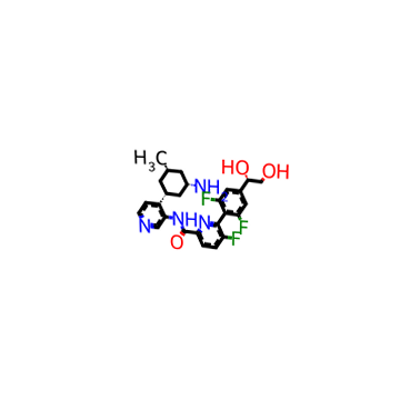 C[C@@H]1C[C@H](N)C[C@H](c2ccncc2NC(=O)c2ccc(F)c(-c3c(F)cc([C@H](O)CO)cc3F)n2)C1